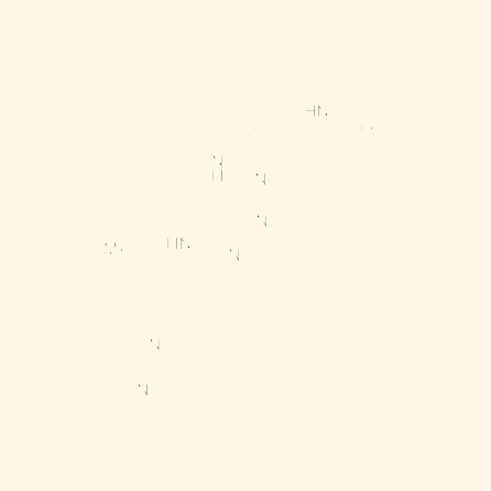 C=CC(=O)Nc1cccc(N(C(=O)NCc2cccc(F)c2)c2cc(Nc3ccc(N4CCN(C)CC4)cc3OC)ncn2)c1